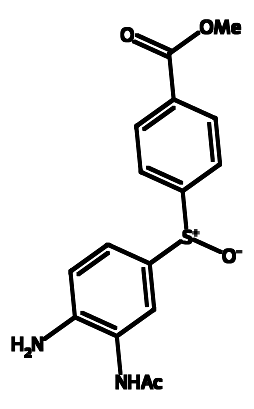 COC(=O)c1ccc([S+]([O-])c2ccc(N)c(NC(C)=O)c2)cc1